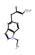 CC(=CC(=O)O)Cc1ccc2c(ccn2CC(C)C)c1